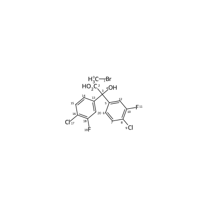 CBr.O=C(O)C(O)(c1ccc(Cl)c(F)c1)c1ccc(Cl)c(F)c1